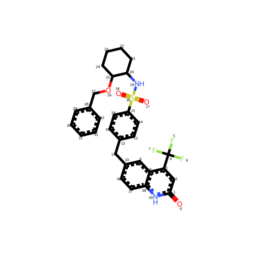 O=c1cc(C(F)(F)F)c2cc(Cc3ccc(S(=O)(=O)NC4CCCCC4OCc4ccccc4)cc3)ccc2[nH]1